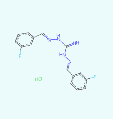 Cl.N=C(NN=Cc1cccc(F)c1)NN=Cc1cccc(F)c1